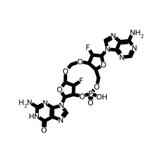 Nc1nc2c(ncn2C2OC3OCOC4C(COP(=O)(O)OC2C3F)OC(n2cnc3c(N)ncnc32)C4F)c(=O)[nH]1